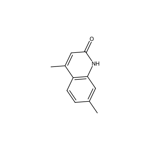 Cc1ccc2c(C)cc(=O)[nH]c2c1